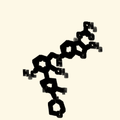 CC(=O)O[C@H]1c2ccc(NCc3ccc(C)c(-c4cnc(N5CCOCC5)c(F)c4)c3C)cc2OC1C